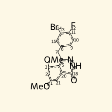 COc1cc(OC)c2c(Cc3ccc(F)c(Br)c3)n[nH]c(=O)c2c1